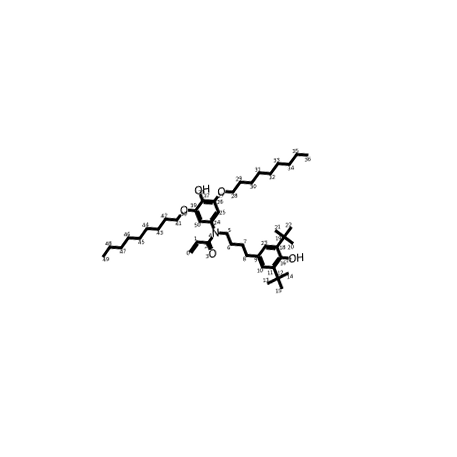 C=CC(=O)N(CCCCc1cc(C(C)(C)C)c(O)c(C(C)(C)C)c1)c1cc(OCCCCCCCCC)c(O)c(OCCCCCCCCC)c1